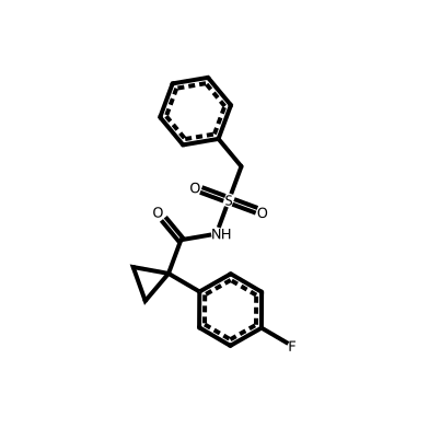 O=C(NS(=O)(=O)Cc1ccccc1)C1(c2ccc(F)cc2)CC1